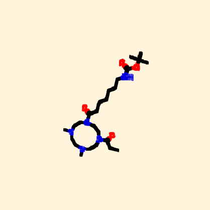 CCC(=O)N1CCN(C)CCN(C)CCN(C(=O)CCCCCCNC(=O)OC(C)(C)C)CC1